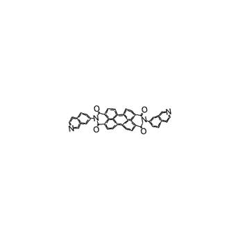 O=C1c2ccc3c4ccc5c6c(ccc(c7ccc(c2c37)C(=O)N1c1ccc2ccncc2c1)c64)C(=O)N(c1ccc2ccncc2c1)C5=O